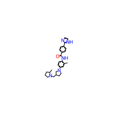 Cc1cc(N2CCC(CN3CCCC3C)C2)ccc1NC(=O)c1ccc(-c2ncc[nH]2)cc1